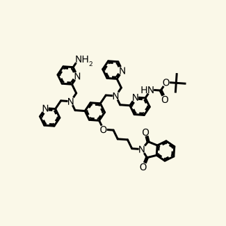 CC(C)(C)OC(=O)Nc1cccc(CN(Cc2cc(CN(Cc3ccccn3)Cc3cccc(N)n3)cc(OCCCCN3C(=O)c4ccccc4C3=O)c2)Cc2ccccn2)n1